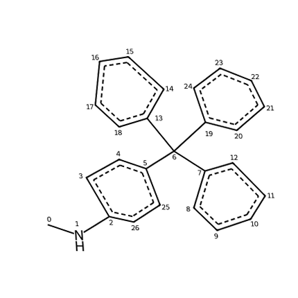 CNc1ccc(C(c2ccccc2)(c2ccccc2)c2ccccc2)cc1